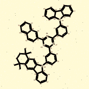 CC1(C)CCC(C)(C)c2cc3c(cc21)c1ccccc1n3-c1cccc(-c2nc(-c3cccc(-n4c5ccccc5c5ccccc54)c3)nc(-c3ccc4ccccc4c3)n2)c1